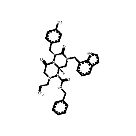 C=CCN1CC(=O)N2[C@@H](Cc3ccc(O)cc3)C(=O)N(Cc3cccc4cc[nH]c34)C[C@@H]2N1C(=O)NCc1ccccc1